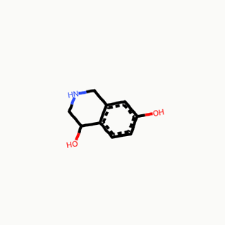 Oc1ccc2c(c1)CNCC2O